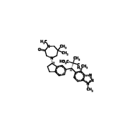 Cc1c([C@H](c2ccc3c(c2)[C@@H](N2CC(=O)N(C)CC(C)(C)C2)CC3)C(C)(C)C(=O)O)ccc2c1nnn2C